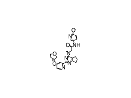 COc1ccc(NC(=O)CN(C)c2nc(-c3cc(O[C@@H]4CCOC4)ccn3)nc3c2CCC3)cn1